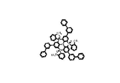 Cc1ccccc1P1(=S)c2cc(-c3cccc(-c4ccccc4)c3)cc3c2N2c4c1cc(-c1cccc(-c5ccccc5)c1)cc4P(=S)(c1ccccc1C)c1cc(-c4cccc(-c5ccccc5)c4)cc(c12)P3(=S)c1ccccc1C